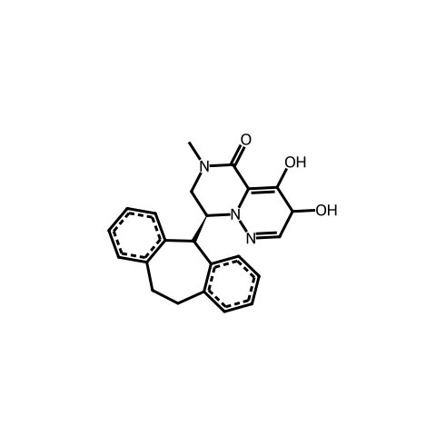 CN1C[C@H](C2c3ccccc3CCc3ccccc32)N2N=CC(O)C(O)=C2C1=O